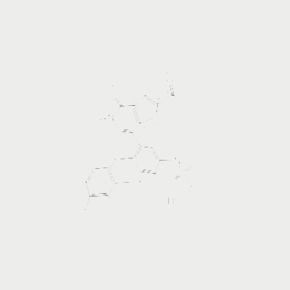 CCS(=O)(=O)Nc1ccc(Oc2ccc(F)cc2F)c(-c2cn(C)c(=O)c3cc(C(=O)OC)sc23)c1